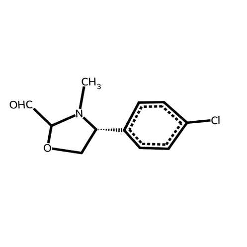 CN1C(C=O)OC[C@H]1c1ccc(Cl)cc1